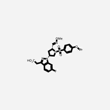 CO/N=C/[C@H]1C[C@@H](n2nc(CC(=O)O)c3ccc(F)cc32)CN1S(=O)(=O)c1ccc(OC(C)C)cc1